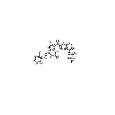 CC[C@H](CNC(=O)c1c(C)nc2c(OCc3c(F)cccc3F)cc(Cl)cn12)NC(=O)OC(=O)C(F)(F)F